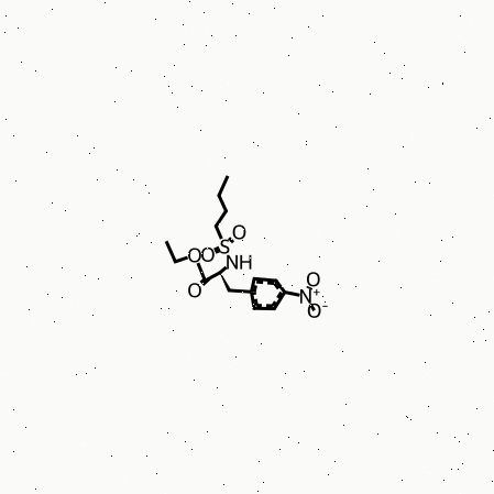 CCCCS(=O)(=O)N[C@@H](Cc1ccc([N+](=O)[O-])cc1)C(=O)OCC